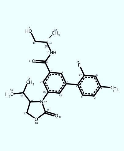 Cc1ccc(-c2cc(C(=O)N[C@@H](C)CO)cc(N3C(=O)OCC3C(C)C)c2)c(F)c1